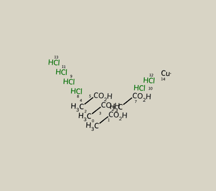 CC(=O)O.CC(=O)O.CC(=O)O.CC(=O)O.Cl.Cl.Cl.Cl.Cl.Cl.[Cu]